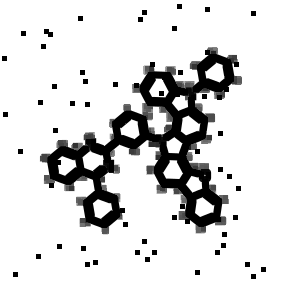 c1ccc(-c2nc(-c3cccc(-n4c5ccc6c7ccccc7oc6c5c5ccc6c(c7ccccc7n6-c6ccccc6)c54)c3)nc3ccccc23)cc1